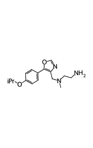 CC(C)Oc1ccc(-c2ocnc2CN(C)CCN)cc1